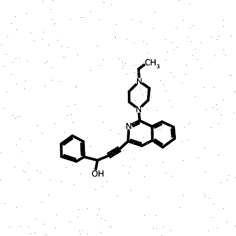 CCN1CCN(c2nc(C#CC(O)c3ccccc3)cc3ccccc23)CC1